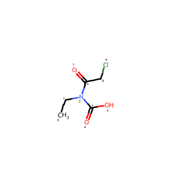 CCN(C(=O)O)C(=O)CCl